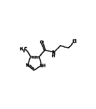 Cc1nc[nH]c1C(=O)NCCCl